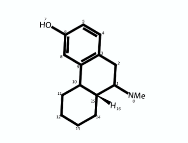 CNC1Cc2ccc(O)cc2C2CCCC[C@@H]12